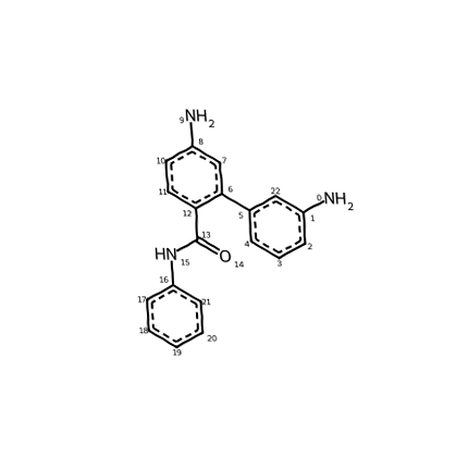 Nc1cccc(-c2cc(N)ccc2C(=O)Nc2ccccc2)c1